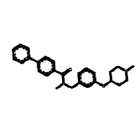 CN1CCC(Oc2cccc(CN(C)C(=O)c3ccc(-c4ccccc4)cc3)c2)CC1